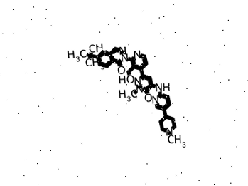 CN1CCC(c2ccc(Nc3cc(-c4ccnc(-n5ncc6cc(C(C)(C)C)ccc6c5=O)c4CO)nn(C)c3=O)nc2)CC1